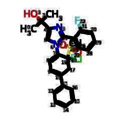 CC(C)(O)c1cn(C2=CC=C(c3ccccc3)CC2(Cl)S(C)(=O)=O)c(-c2c(F)cccc2F)n1